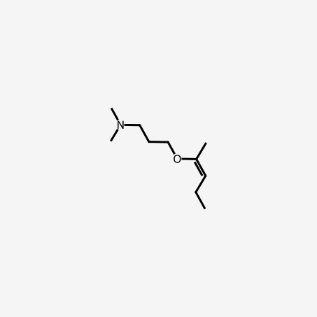 CCC=C(C)OCCCN(C)C